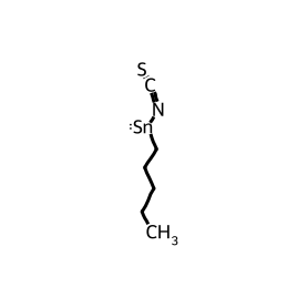 CCCC[CH2][Sn][N]=C=S